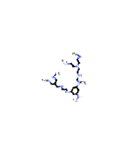 CNCCN(CCNC)CCNCN(C)C1CC(NC)CC(NCCNCC(CNC)CNC)C1